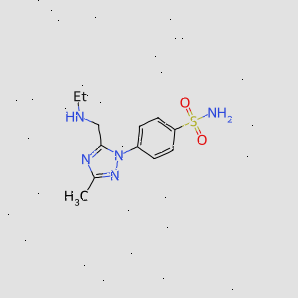 CCNCc1nc(C)nn1-c1ccc(S(N)(=O)=O)cc1